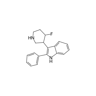 FC1CCNCC1c1c(-c2ccccc2)[nH]c2ccccc12